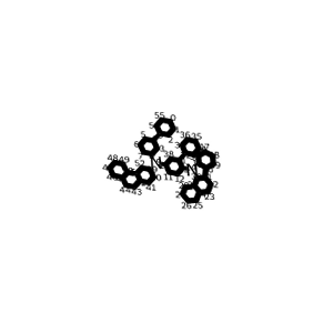 c1ccc(-c2cccc(N(c3ccc(-n4c5ccccc5c5ccc6ccccc6c54)c(-c4ccccc4)c3)c3ccc4ccc5ccccc5c4c3)c2)cc1